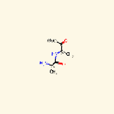 CC(C)COC(=O)[C@H](C)NC(=O)[C@H](C)N